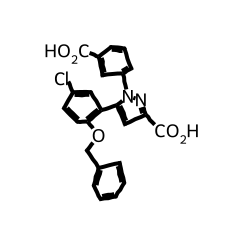 O=C(O)c1cccc(-n2nc(C(=O)O)cc2-c2cc(Cl)ccc2OCc2ccccc2)c1